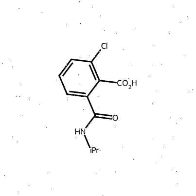 CC(C)NC(=O)c1cccc(Cl)c1C(=O)O